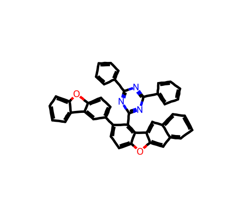 c1ccc(-c2nc(-c3ccccc3)nc(-c3c(-c4ccc5oc6ccccc6c5c4)ccc4oc5cc6ccccc6cc5c34)n2)cc1